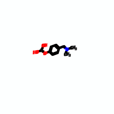 CN(C)Cc1ccc(OB(O)O)cc1